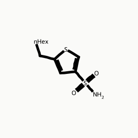 CCCCCCCc1cc(S(N)(=O)=O)cs1